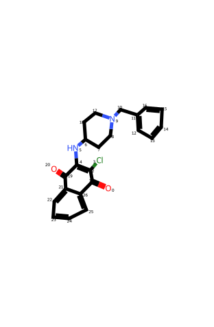 O=C1C(Cl)=C(NC2CCN(Cc3ccccc3)CC2)C(=O)c2ccccc21